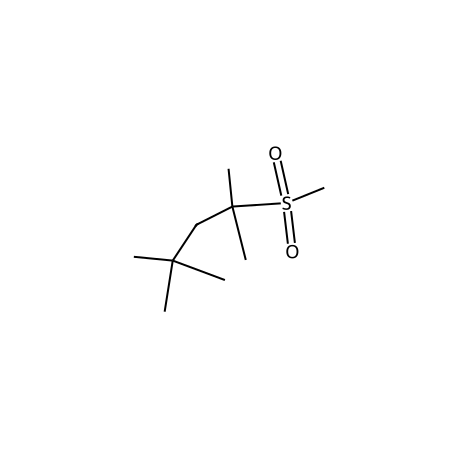 CC(C)(C)CC(C)(C)S(C)(=O)=O